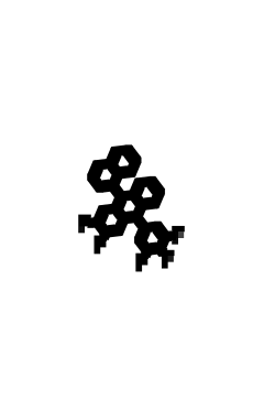 Fc1cc2c(-c3cc(F)c(F)c(F)c3)c3ccccc3c(-c3cccc4ccccc34)c2cc1F